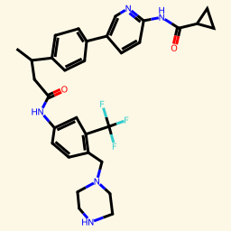 CC(CC(=O)Nc1ccc(CN2CCNCC2)c(C(F)(F)F)c1)c1ccc(-c2ccc(NC(=O)C3CC3)nc2)cc1